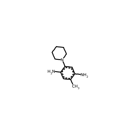 Cc1cc(N)c(N2CCCCC2)cc1N